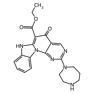 CCOC(=O)c1c(=O)c2cnc(N3CCCNCC3)nc2n2c1[nH]c1ccccc12